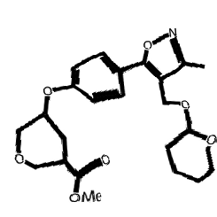 COC(=O)C1COCC(Oc2ccc(-c3onc(C)c3COC3CCCCO3)cc2)C1